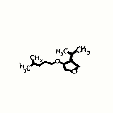 CC(C)CCCOC1COCC1C(C)C